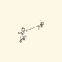 O=C1CCC(N2Cc3c(SCCCCCCCN[C@H]4C[C@H]5CC[C@@H]4C5)cccc3C2=O)C(=O)N1